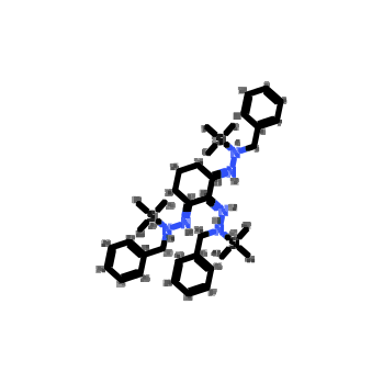 C[Si](C)(C)N(Cc1ccccc1)N=C1CCCC(=NN(Cc2ccccc2)[Si](C)(C)C)C1=NN(Cc1ccccc1)[Si](C)(C)C